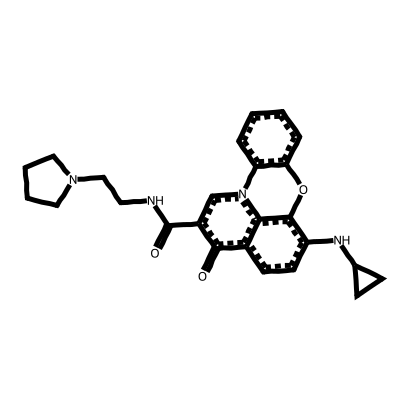 O=C(NCCN1CCCC1)c1cn2c3c(c(NC4CC4)ccc3c1=O)Oc1ccccc1-2